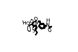 CCc1cc2c(s1)c(C(=O)O)c(OC)c(=O)n2Cc1cccc(NC(C)=O)c1